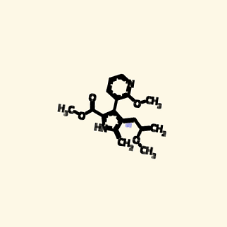 C=C(/C=c1/c(-c2cccnc2OC)c(C(=O)OC)[nH]c1=C)OC